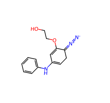 [N-]=[N+]=C1CC=C(Nc2ccccc2)C=C1OCCO